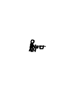 [Cl-].[Na+].[O]=[AlH]